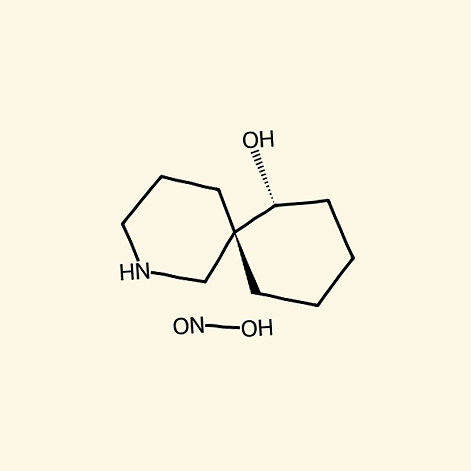 O=NO.O[C@@H]1CCCC[C@@]12CCCNC2